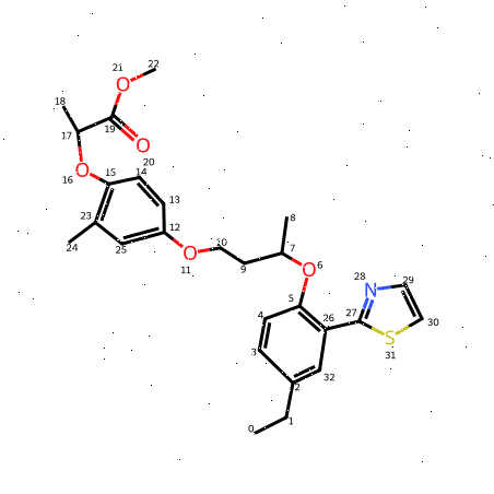 CCc1ccc(OC(C)CCOc2ccc(OC(C)C(=O)OC)c(C)c2)c(-c2nccs2)c1